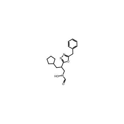 O=CN(O)CC(CC1CCCC1)c1nnc(Cc2ccccc2)o1